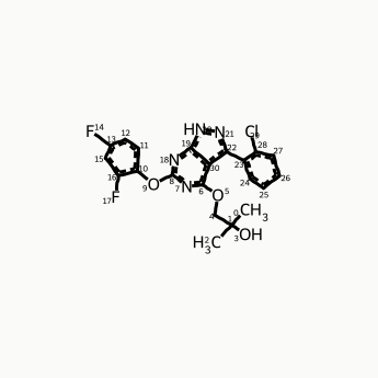 CC(C)(O)COc1nc(Oc2ccc(F)cc2F)nc2[nH]nc(-c3ccccc3Cl)c12